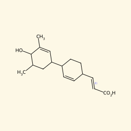 CC1=CC(C2C=CC(/C=C/C(=O)O)CC2)CC(C)C1O